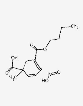 CCCCOC(=O)C1=CC=CC(C)(C(=O)O)C1.O=NO